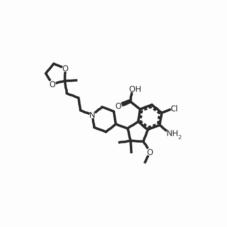 COC1c2c(N)c(Cl)cc(C(=O)O)c2C(C2CCN(CCCC3(C)OCCO3)CC2)C1(C)C